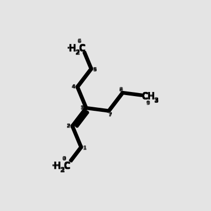 [CH2]C/C=C(/CC[CH2])CCC